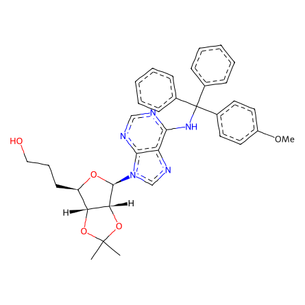 COc1ccc(C(Nc2ncnc3c2ncn3[C@@H]2O[C@H](CCCO)[C@H]3OC(C)(C)O[C@H]32)(c2ccccc2)c2ccccc2)cc1